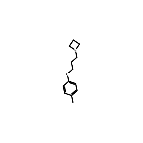 Cc1ccc(OCCCN2CCC2)cc1